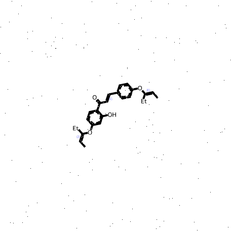 C/C=C(/CC)Oc1ccc(C(=O)/C=C/c2ccc(O/C(=C/C)CC)cc2)c(O)c1